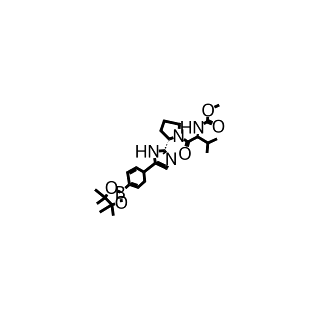 COC(=O)N[C@H](C(=O)N1CCC[C@H]1c1ncc(C2C=CC(B3OC(C)(C)C(C)(C)O3)=CC2)[nH]1)C(C)C